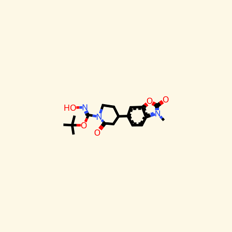 Cn1c(=O)oc2cc(C3CCN(C(=NO)OC(C)(C)C)C(=O)C3)ccc21